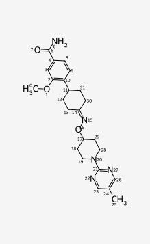 COc1cc(C(N)=O)ccc1C1CCC(=NOC2CCN(c3ncc(C)cn3)CC2)CC1